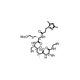 COCSC[C@H](NC(=O)CCn1nc(C)cc1C)C(=O)N[C@H](CC(C)C)[C@@H](O)C[C@@H](C)C(=O)N[C@@H](C(=O)NCC(C)C)C(C)C